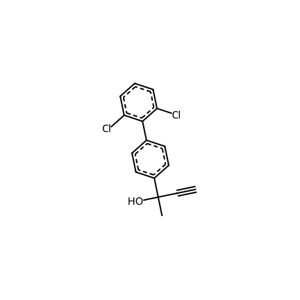 C#CC(C)(O)c1ccc(-c2c(Cl)cccc2Cl)cc1